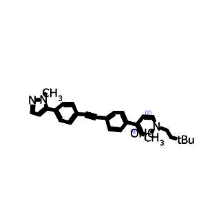 C/C=C(\C=C/N(C=O)CCC(C)(C)C)c1ccc(C#Cc2ccc(-c3ccnn3C)cc2)cc1